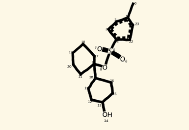 Cc1ccc(S(=O)(=O)OC2(C3CCC(O)CC3)CCCCC2)cc1